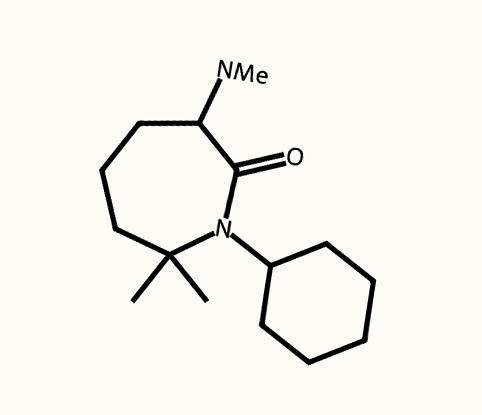 CNC1CCCC(C)(C)N(C2CCCCC2)C1=O